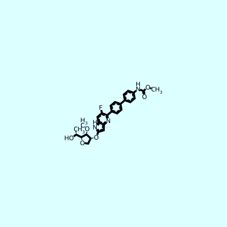 COC(=O)Nc1ccc(-c2ccc(-c3nc4cc(O[C@@H]5CO[C@H]([C@@H](C)O)[C@@H]5OC)[nH]c4cc3F)cc2)cc1